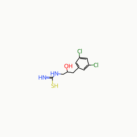 N=C(S)NCC(O)Cc1cc(Cl)cc(Cl)c1